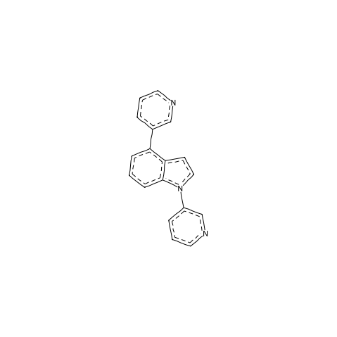 c1cncc(-c2cccc3c2ccn3-c2cccnc2)c1